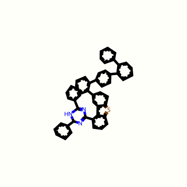 c1ccc(C2=NC(c3cccc4sc5ccc(-c6ccccc6-c6ccc(-c7ccccc7-c7ccccc7)cc6)cc5c34)=NC(c3ccccc3)N2)cc1